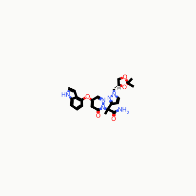 CC1(C)OC[C@@H](Cn2ccc(C(C)(C(N)=O)n3ncc(Oc4cccc5[nH]ccc45)cc3=O)n2)O1